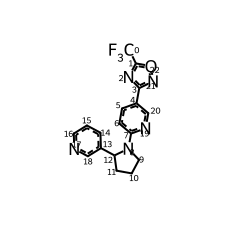 FC(F)(F)c1nc(-c2ccc(N3CCCC3c3cccnc3)nc2)no1